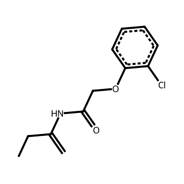 C=C(CC)NC(=O)COc1ccccc1Cl